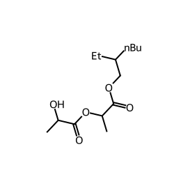 CCCCC(CC)COC(=O)C(C)OC(=O)C(C)O